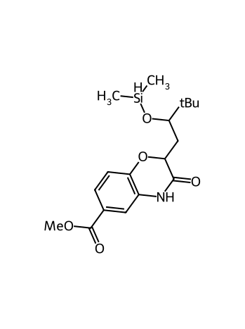 COC(=O)c1ccc2c(c1)NC(=O)C(CC(O[SiH](C)C)C(C)(C)C)O2